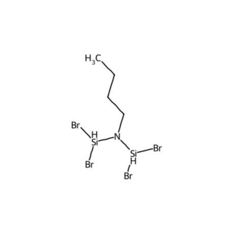 CCCCN([SiH](Br)Br)[SiH](Br)Br